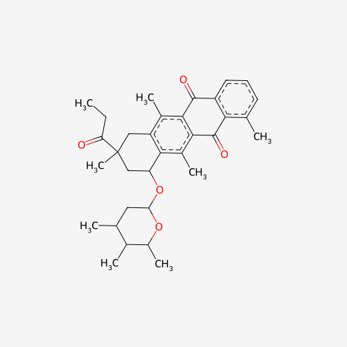 CCC(=O)C1(C)Cc2c(C)c3c(c(C)c2C(OC2CC(C)C(C)C(C)O2)C1)C(=O)c1c(C)cccc1C3=O